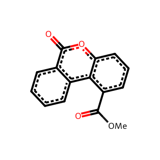 COC(=O)c1cccc2oc(=O)c3ccccc3c12